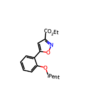 CCCC(C)Oc1ccccc1-c1cc(C(=O)OCC)no1